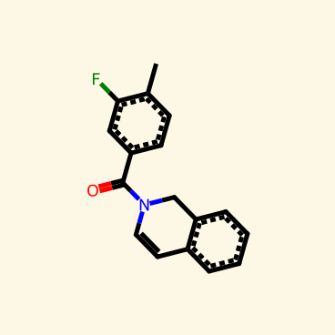 Cc1ccc(C(=O)N2C=Cc3ccccc3C2)cc1F